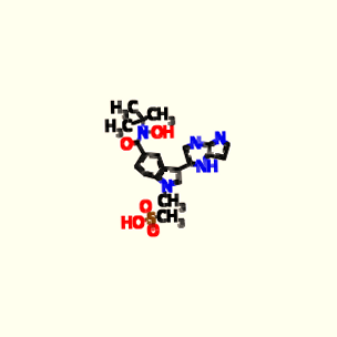 CS(=O)(=O)O.Cn1cc(-c2cnc3nccc-3[nH]2)c2cc(C(=O)N(O)C(C)(C)C)ccc21